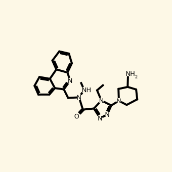 CCn1c(C(=O)N(Cc2nc3ccccc3c3ccccc23)NC)nnc1N1CCCC(N)C1